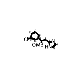 COC(Cc1ncc[nH]1)c1cccc(Cl)c1